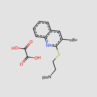 CCCCc1cc2ccccc2nc1SCCNC.O=C(O)C(=O)O